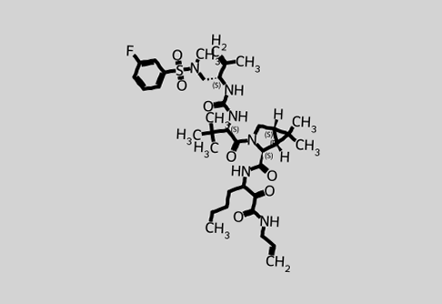 C=CCNC(=O)C(=O)C(CCCC)NC(=O)[C@@H]1[C@@H]2[C@H](CN1C(=O)[C@@H](NC(=O)N[C@H](CN(C)S(=O)(=O)c1cccc(F)c1)C(=C)C)C(C)(C)C)C2(C)C